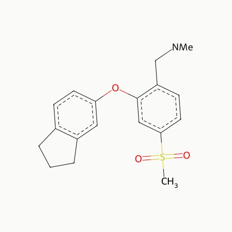 CNCc1ccc(S(C)(=O)=O)cc1Oc1ccc2c(c1)CCC2